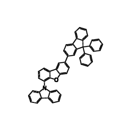 c1ccc(C2(c3ccccc3)c3ccccc3-c3ccc(-c4ccc5oc6c(-n7c8ccccc8c8ccccc87)cccc6c5c4)cc32)cc1